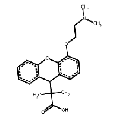 CN(C)CCOc1cccc2c1Oc1ccccc1C2C(C)(C)C(=O)O